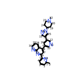 Cc1cccc(-c2cc(-c3cncc(-c4cnn(C5CCN(C)CC5)c4)c3)c3cccnc3n2)n1